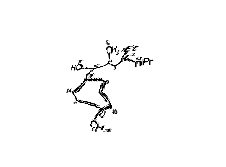 CCCN(CC)CC(C)C(O)c1ccc(C)cc1